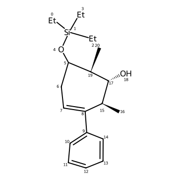 CC[Si](CC)(CC)OC1CC=C(c2ccccc2)[C@H](C)[C@@H](O)[C@@H]1C